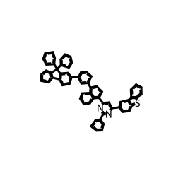 c1ccc(-c2nc(-c3ccc4sc5ccccc5c4c3)cc(-c3ccc(-c4cccc(-c5ccc6c(c5)C(c5ccccc5)(c5ccccc5)c5ccccc5-6)c4)c4ccccc34)n2)cc1